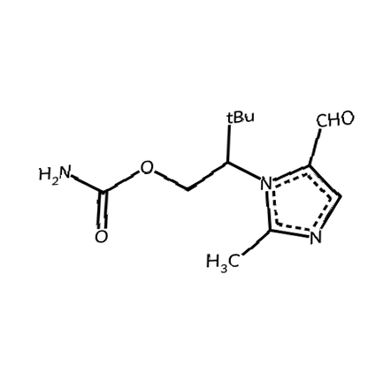 Cc1ncc(C=O)n1C(COC(N)=O)C(C)(C)C